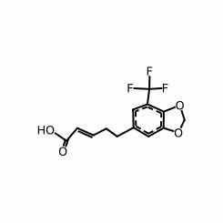 O=C(O)/C=C/CCc1cc2c(c(C(F)(F)F)c1)OCO2